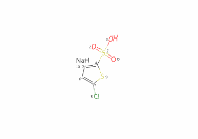 O=S(=O)(O)c1ccc(Cl)s1.[NaH]